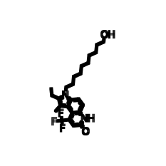 CCc1c(C)c2c3c(C(F)(F)F)cc(=O)[nH]c3ccc2n1CCCCCCCCCCO